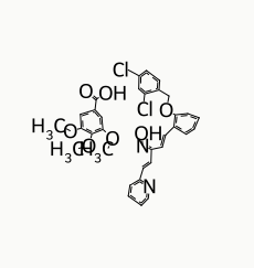 COc1cc(C(=O)O)cc(OC)c1OC.ON=C(C=Cc1ccccn1)C=Cc1ccccc1OCc1ccc(Cl)cc1Cl